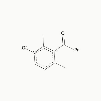 Cc1cc[n+]([O-])c(C)c1C(=O)C(C)C